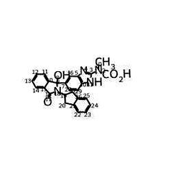 CN(C(=O)O)c1nc2cc(C3(O)c4ccccc4C(=O)N3C3Cc4ccccc4C3)ccc2[nH]1